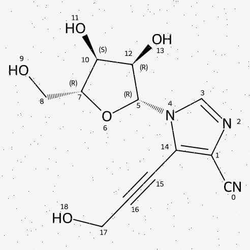 N#Cc1ncn([C@@H]2O[C@H](CO)[C@@H](O)[C@H]2O)c1C#CCO